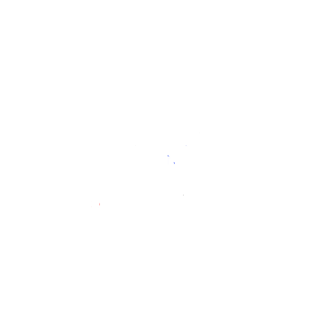 CC(C)N1C2CCOCC1CC2